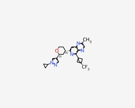 Cc1cnc2c(C34CC(C(F)(F)F)(C3)C4)nc([C@H]3CCO[C@H](c4cnn(C5CC5)c4)C3)cc2n1